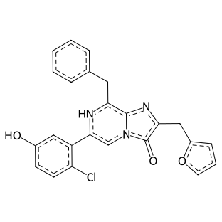 O=c1c(Cc2ccco2)nc2c(Cc3ccccc3)[nH]c(-c3cc(O)ccc3Cl)cn1-2